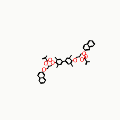 C=C(C)C(=O)OC(COc1ccc2ccccc2c1)COc1c(C)cc(-c2cc(C)c(OCC(COc3ccc4ccccc4c3)OC(=O)C(=C)C)c(C)c2)cc1C